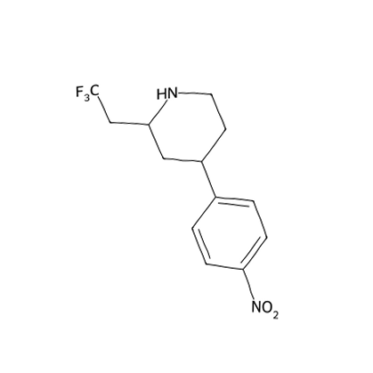 O=[N+]([O-])c1ccc(C2CCNC(CC(F)(F)F)C2)cc1